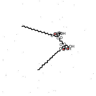 CCCCCCCCCCCCCCCCCCOC(=O)CC(CC(=O)O)(OC(=O)CCC(=O)OC(CC(=O)O)(CC(=O)OCCCCCCCCCCCCCCCCCC)C(=O)O)C(=O)O